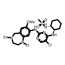 CCN1CCN(CC)c2cc(Nc3ncc(Cl)c(N[C@@H]4CCCC[C@H]4NS(C)(=O)=O)n3)c(OC)cc2C1